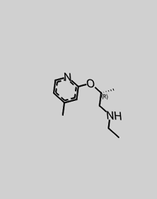 CCNC[C@@H](C)Oc1cc(C)ccn1